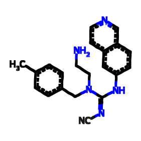 Cc1ccc(CN(CCN)/C(=N\C#N)Nc2ccc3cnccc3c2)cc1